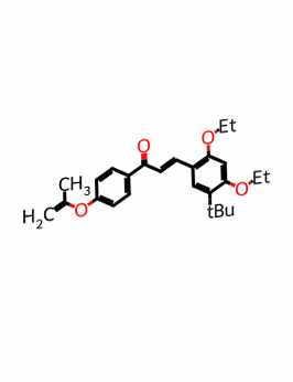 C=C(C)Oc1ccc(C(=O)C=Cc2cc(C(C)(C)C)c(OCC)cc2OCC)cc1